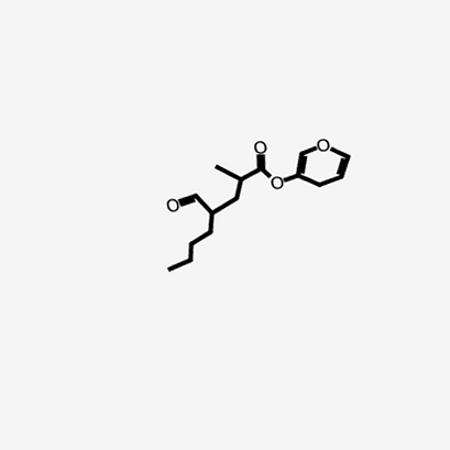 CCCCC(C=O)CC(C)C(=O)OC1=COC=CC1